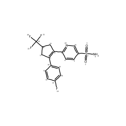 NS(=O)(=O)c1ccc(C2=C(c3ccc(F)cc3)CC(C(F)(F)F)C2)nc1